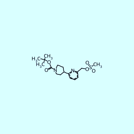 CC(C)(C)OC(=O)N1CCC(c2cccc(COS(C)(=O)=O)n2)CC1